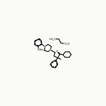 COc1ccccc1N1CCN(CCC(C)(C(=O)C2CCCCC2)c2ccccc2)CC1.O=C(O)CCC(=O)O